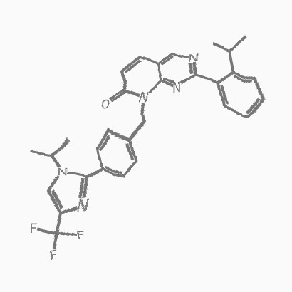 CC(C)c1ccccc1-c1ncc2ccc(=O)n(Cc3ccc(-c4nc(C(F)(F)F)cn4C(C)C)cc3)c2n1